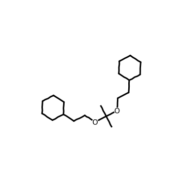 CC(C)(OCCC1CCCCC1)OCCC1CCCCC1